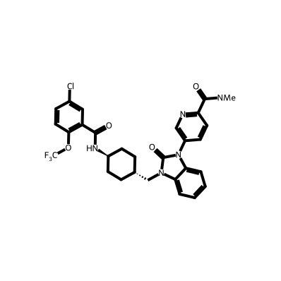 CNC(=O)c1ccc(-n2c(=O)n(C[C@H]3CC[C@H](NC(=O)c4cc(Cl)ccc4OC(F)(F)F)CC3)c3ccccc32)cn1